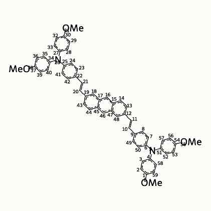 COc1ccc(N(c2ccc(C=Cc3ccc4cc5cc(C=Cc6ccc(N(c7ccc(OC)cc7)c7ccc(OC)cc7)cc6)ccc5cc4c3)cc2)c2ccc(OC)cc2)cc1